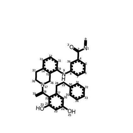 C=NC(=O)c1cccc(Nc2cccc3c2CN(C(=C)c2c(O)cc(O)cc2CCc2ccccc2)CC3)c1